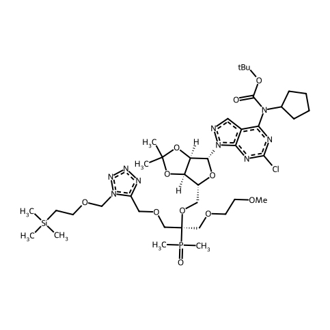 COCCOC[C@](COCc1nnnn1COCC[Si](C)(C)C)(OC[C@H]1O[C@@H](n2ncc3c(N(C(=O)OC(C)(C)C)C4CCCC4)nc(Cl)nc32)[C@@H]2OC(C)(C)O[C@@H]21)P(C)(C)=O